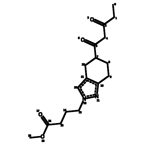 CCC(=O)CC(=O)C1CCc2nn(CCCC(=O)OC)cc2C1